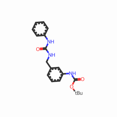 CC(C)(C)OC(=O)Nc1cccc(CNC(=O)Nc2ccccc2)c1